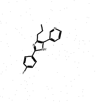 CCCc1nc(-c2ccc(F)cc2)[nH]c1-c1cccnc1